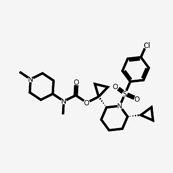 CN1CCC(N(C)C(=O)OC2([C@H]3CCC[C@@H](C4CC4)N3S(=O)(=O)c3ccc(Cl)cc3)CC2)CC1